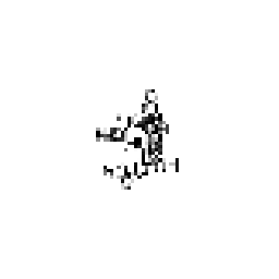 C[C@@H]1C[C@H]2[C@@H]3CCC4=CC(=O)C=C[C@]4(C)[C@@]3(F)[C@@H](O)C[C@]2(C)[C@@]1(O)C(=O)Cc1cc(C(=O)O)ccc1C(=O)O.Cl.Cl